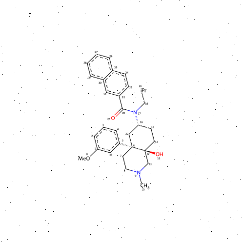 COc1cccc([C@@]23CCN(C)C[C@@]2(O)CC[C@@H](N(CC(C)C)C(=O)c2ccc4ccccc4c2)C3)c1